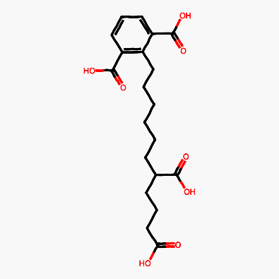 O=C(O)CCCC(CCCCCCc1c(C(=O)O)cccc1C(=O)O)C(=O)O